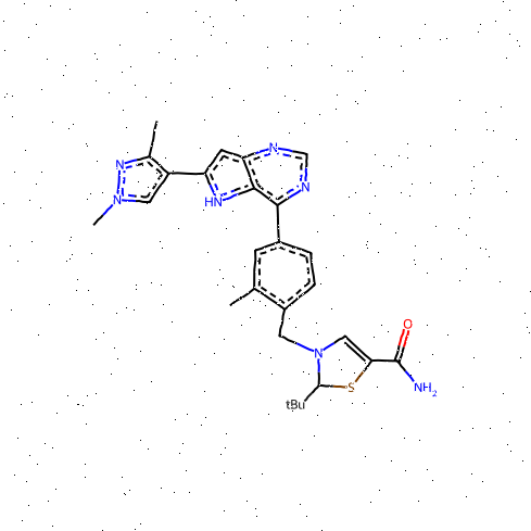 Cc1cc(-c2ncnc3cc(-c4cn(C)nc4C)[nH]c23)ccc1CN1C=C(C(N)=O)SC1C(C)(C)C